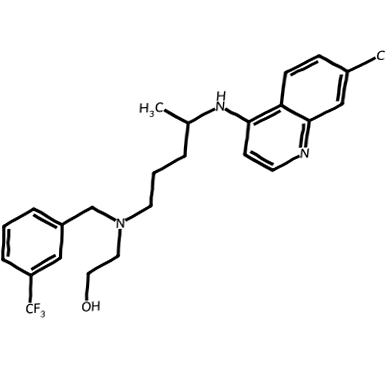 CC(CCCN(CCO)Cc1cccc(C(F)(F)F)c1)Nc1ccnc2cc(Cl)ccc12